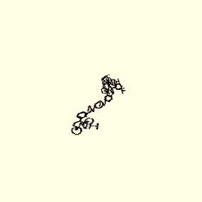 CN(Cc1cccc(C2CCC(=O)NC2=O)c1)C1CCN(c2ccc3c(c2)C(=O)N(C(C(=O)Nc2nccs2)c2cc(F)ccc2O)C3)CC1